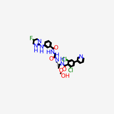 O=C(CNC(=O)c1cccc(NC2=NCC(F)CN2)c1)NC[C@@H](COCO)NC(=O)c1c(Cl)cc(-c2cccnc2)cc1Cl